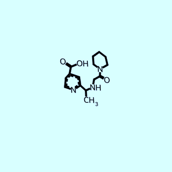 CC(NCC(=O)N1CCCCC1)c1cc(C(=O)O)ccn1